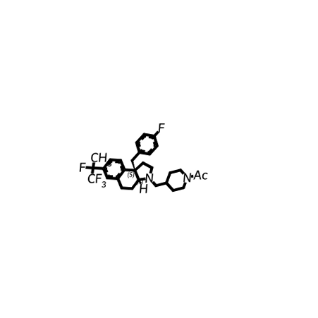 CC(=O)N1CCC(CN2CC[C@@]3(Cc4ccc(F)cc4)c4ccc(C(C)(F)C(F)(F)F)cc4CC[C@@H]23)CC1